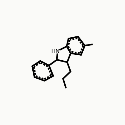 CCCC1c2cc(C)ccc2NC1c1ccccc1